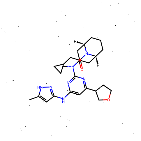 Cc1cc(Nc2cc(C3CCOC3)nc(N(C)C3C[C@H]4CCC[C@@H](C3)N4C(=O)CC3CC3)n2)n[nH]1